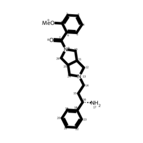 COc1ccccc1C(=O)N1CC2CN(CC[C@H](N)c3ccccc3)CC2C1